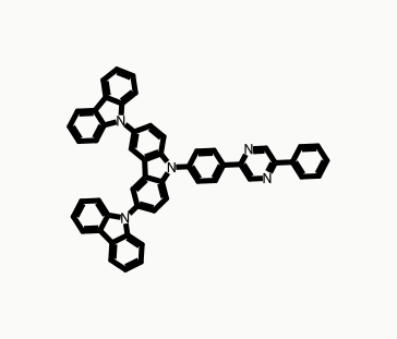 c1ccc(-c2cnc(-c3ccc(-n4c5ccc(-n6c7ccccc7c7ccccc76)cc5c5cc(-n6c7ccccc7c7ccccc76)ccc54)cc3)cn2)cc1